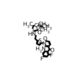 CC(C)C[C@@H](NCCc1ccc(-n2c(N)c(C(=O)c3ccc(F)cc3F)ccc2=O)s1)C(=O)OC(C)(C)C